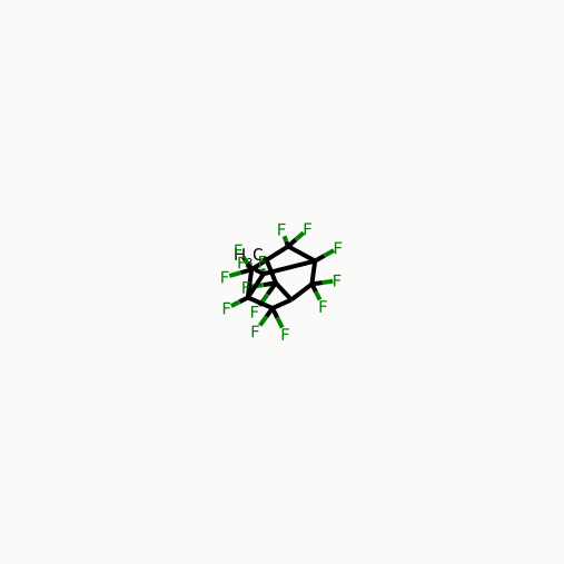 CC12C(F)(F)C3C(F)(F)C(F)(C1(F)F)C(F)(F)C(F)(C3(F)F)C2(F)F